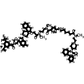 CN(CCN1CCC(N(C(=O)O)c2ccccc2-c2ccccc2)CC1)C(=O)CCCCCNc1ccc(C(=O)N(C)CCCN(C)C(=O)CO[C@H]2Cc3ccccc3C23CCN(CC[C@]2(c4ccc(F)cc4)CN(C(=O)c4cc(C(F)(F)F)cc(C(F)(F)F)c4)CO2)CC3)nn1